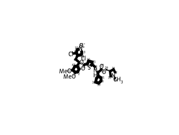 COc1ccc(C(Cc2c(Cl)c[n+]([O-])cc2Cl)OC(=O)c2ccc(CNC(C(=O)OC[C@H]3CCN(C)C3)c3ccccc3)s2)cc1OC